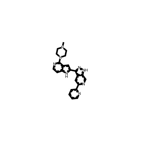 CN1CCN(c2nccc3[nH]c(-c4n[nH]c5cnc(-c6ccccn6)cc45)cc23)CC1